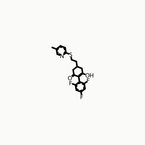 Cc1ccc(SCCC2CC(=O)C(c3c(F)cc(F)cc3F)=C(O)C2)nc1